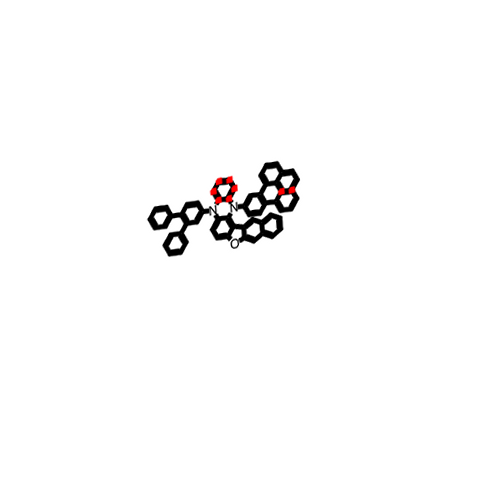 c1ccc(-c2ccc(N(c3ccccc3)c3ccc4oc5cc6ccccc6cc5c4c3N(c3ccccc3)c3ccc(-c4ccccc4)c(-c4cccc5ccccc45)c3)cc2-c2ccccc2)cc1